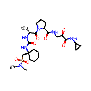 CCN(C(C)C)S(=O)(=O)CC1(NC(=O)N[C@H](C(=O)N2CCC[C@H]2C(=O)NCC(=O)C(=O)NC2CC2)C(C)(C)C)CCCCC1